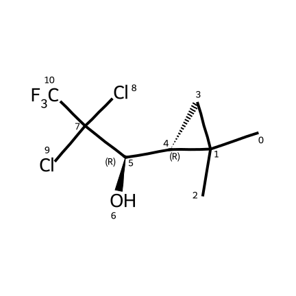 CC1(C)C[C@H]1[C@@H](O)C(Cl)(Cl)C(F)(F)F